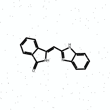 O=C1NC(=Cc2nc3ccccc3[nH]2)c2ccccc21